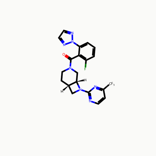 O=C(c1c(F)cccc1-n1nccn1)N1CC[C@H]2CN(c3nccc(C(F)(F)F)n3)[C@H]2C1